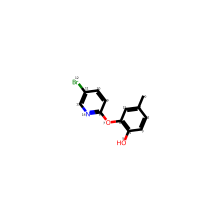 Cc1ccc(O)c(Oc2ccc(Br)cn2)c1